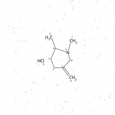 C=C1CCC(C)N(C)C1.Cl